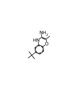 CC1=C(N)Nc2cc(C(C)(C)C)ccc2O1